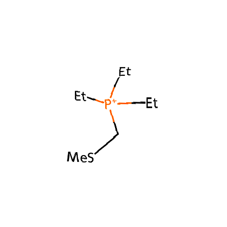 CC[P+](CC)(CC)CSC